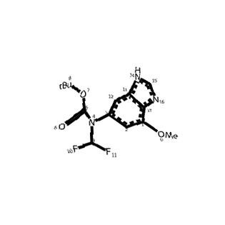 COc1cc(N(C(=O)OC(C)(C)C)C(F)F)cc2[nH]cnc12